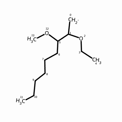 [CH2]C(OCC)C(CCCCCC)OC